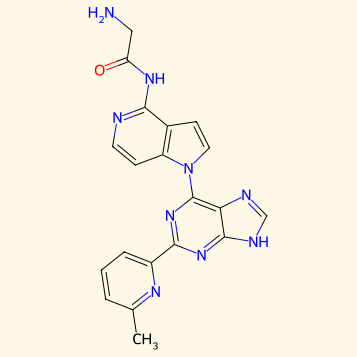 Cc1cccc(-c2nc(-n3ccc4c(NC(=O)CN)nccc43)c3nc[nH]c3n2)n1